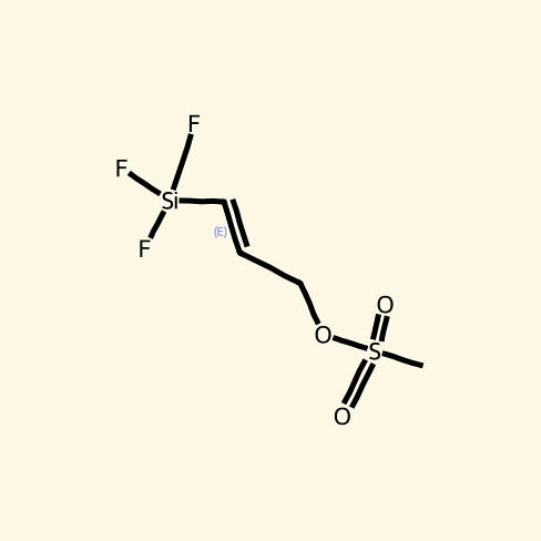 CS(=O)(=O)OC/C=C/[Si](F)(F)F